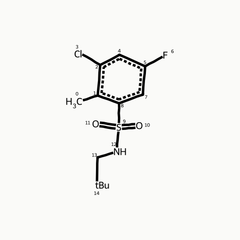 Cc1c(Cl)cc(F)cc1S(=O)(=O)NCC(C)(C)C